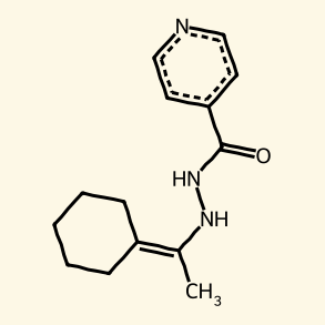 CC(NNC(=O)c1ccncc1)=C1CCCCC1